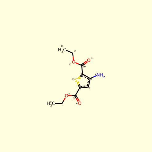 CCOC(=O)c1cc(N)c(C(=O)OCC)s1